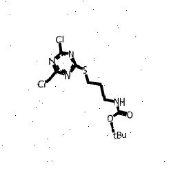 CC(C)(C)OC(=O)NCCCSc1nc(Cl)nc(Cl)n1